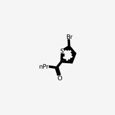 CCCC(=O)c1ccc(Br)s1